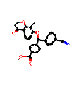 COC(=O)c1ccc(C(Oc2ccc3c(c2C)OCCC3=O)c2ccc(C#N)cc2)cc1